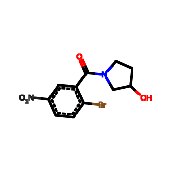 O=C(c1cc([N+](=O)[O-])ccc1Br)N1CCC(O)C1